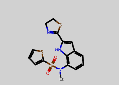 CCN(c1cccc2cc(C3=NC[C]S3)[nH]c12)S(=O)(=O)c1cccs1